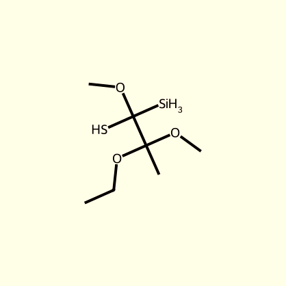 CCOC(C)(OC)C([SiH3])(S)OC